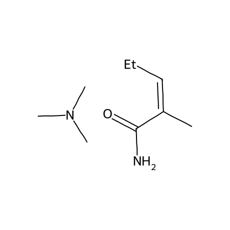 CCC=C(C)C(N)=O.CN(C)C